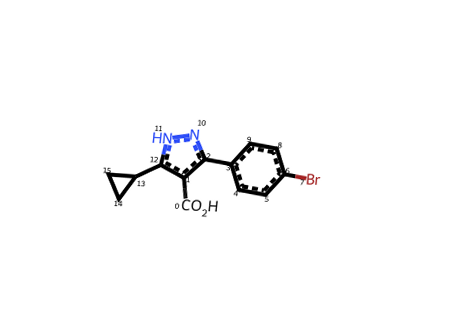 O=C(O)c1c(-c2ccc(Br)cc2)n[nH]c1C1CC1